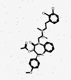 COc1ccc([C@@H]2Sc3ccccc3N(C[C@H](C)N(C)CCc3cccc(Cl)c3Cl)C(=O)[C@@H]2OC(C)=O)cc1